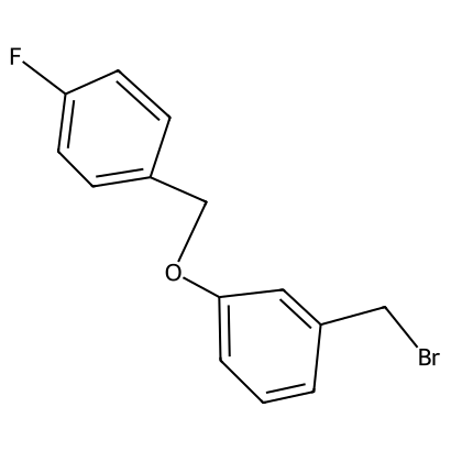 Fc1ccc(COc2cccc(CBr)c2)cc1